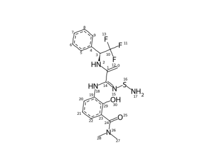 C=C(N[C@@H](c1ccccc1)C(F)(F)F)/C(=N\SN)Nc1cccc(C(=O)N(C)C)c1O